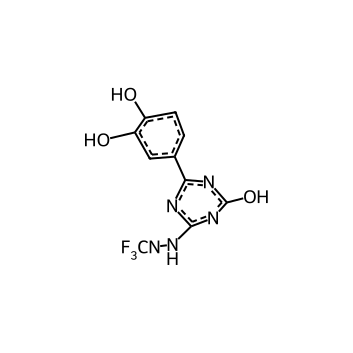 Oc1nc(NNC(F)(F)F)nc(-c2ccc(O)c(O)c2)n1